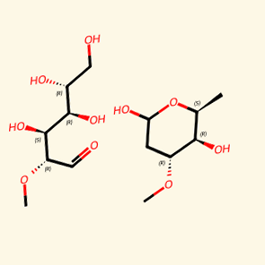 CO[C@@H](C=O)[C@@H](O)[C@H](O)[C@H](O)CO.CO[C@@H]1CC(O)O[C@@H](C)[C@H]1O